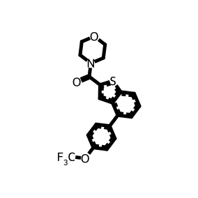 O=C(c1cc2c(-c3ccc(OC(F)(F)F)cc3)cccc2s1)N1CCOCC1